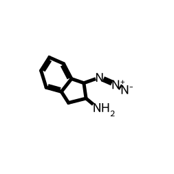 [N-]=[N+]=NC1c2ccccc2CC1N